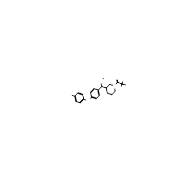 COC(c1ccc(Oc2ccc(F)cc2)cc1)C1CCCN(C(=O)C(F)(F)F)C1